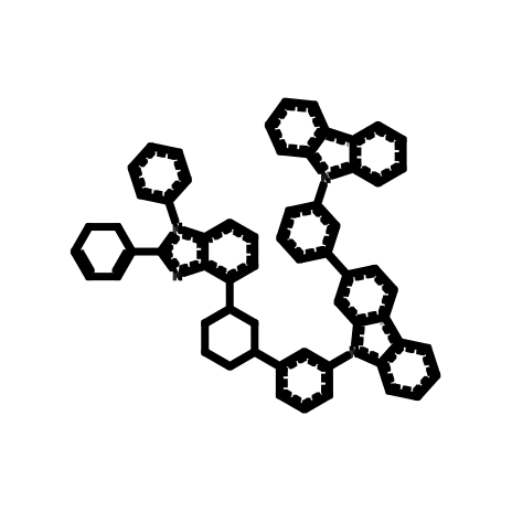 C1=CCCC(c2nc3c(C4CCCC(c5cccc(-n6c7ccccc7c7ccc(-c8cccc(-n9c%10ccccc%10c%10ccccc%109)c8)cc76)c5)C4)cccc3n2-c2ccccc2)=C1